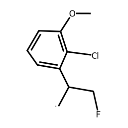 [CH2]C(CF)c1cccc(OC)c1Cl